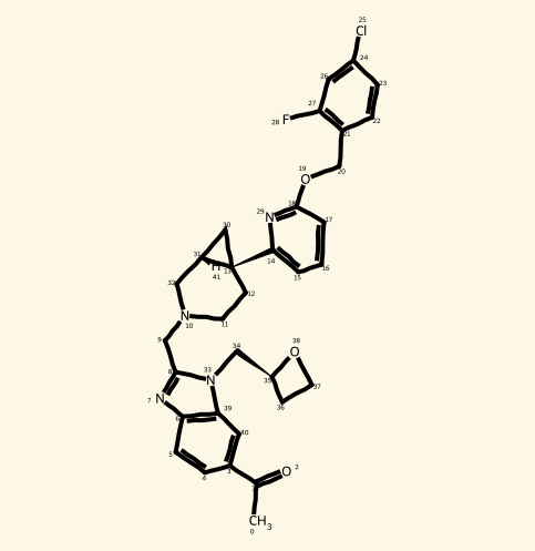 CC(=O)c1ccc2nc(CN3CC[C@@]4(c5cccc(OCc6ccc(Cl)cc6F)n5)C[C@H]4C3)n(C[C@@H]3CCO3)c2c1